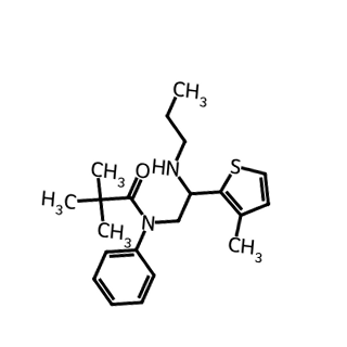 CCCNC(CN(C(=O)C(C)(C)C)c1ccccc1)c1sccc1C